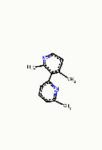 Cc1cccc(-c2c(C)ccnc2C)n1